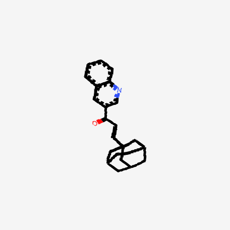 O=C(C=CC12CC3CC(CC(C3)C1)C2)c1cnc2ccccc2c1